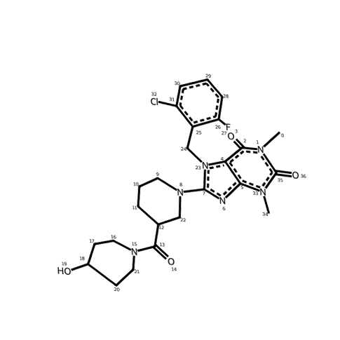 Cn1c(=O)c2c(nc(N3CCCC(C(=O)N4CCC(O)CC4)C3)n2Cc2c(F)cccc2Cl)n(C)c1=O